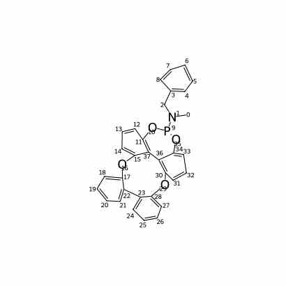 CN(Cc1ccccc1)p1oc2cccc3oc4ccccc4c4ccccc4oc4cccc(o1)c4c32